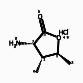 C[C@H]1[C@H](C)OC(=O)[C@H]1N.Cl